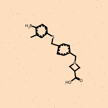 Bc1ccc(SCc2ccc(CN3CC(C(=O)O)C3)cc2)cc1C